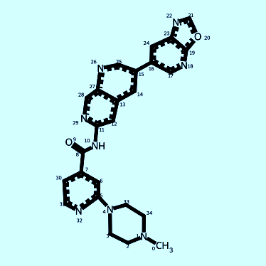 CN1CCN(c2cc(C(=O)Nc3cc4cc(-c5cnc6ocnc6c5)cnc4cn3)ccn2)CC1